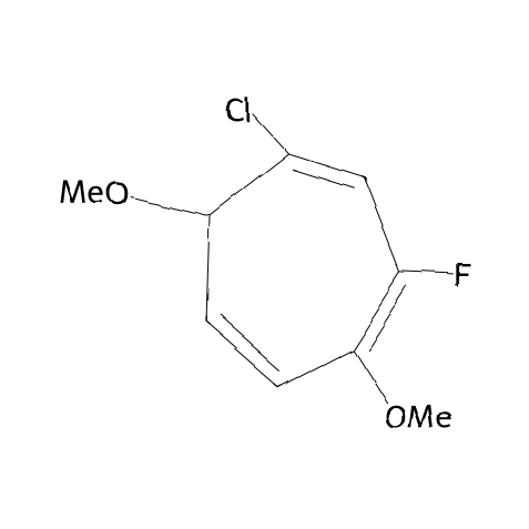 COC1=C(F)C=C(Cl)C(OC)C=C1